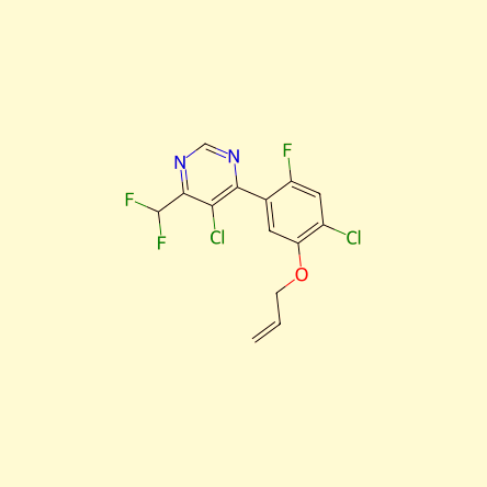 C=CCOc1cc(-c2ncnc(C(F)F)c2Cl)c(F)cc1Cl